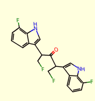 O=C(C(CF)c1c[nH]c2c(F)cccc12)C(CF)c1c[nH]c2c(F)cccc12